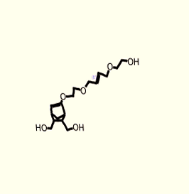 OCCOC/C=C/COCCOC1=CC2CC1C(CO)C2CO